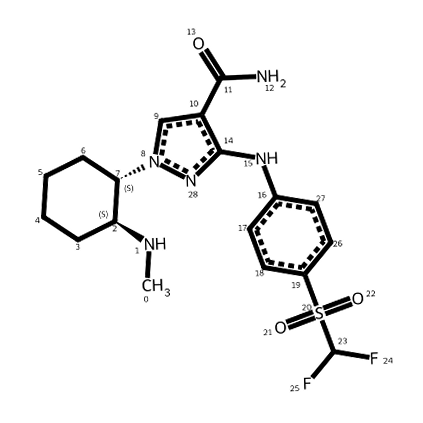 CN[C@H]1CCCC[C@@H]1n1cc(C(N)=O)c(Nc2ccc(S(=O)(=O)C(F)F)cc2)n1